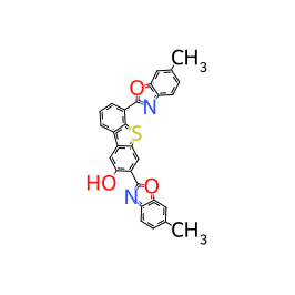 Cc1ccc2nc(-c3cc4sc5c(-c6nc7ccc(C)cc7o6)cccc5c4cc3O)oc2c1